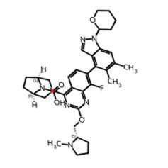 Cc1cc2c(cnn2C2CCCCO2)c(-c2ccc3c(N4C[C@H]5CC[C@@H](C4)N5C(=O)O)nc(OC[C@@H]4CCCN4C)nc3c2F)c1C